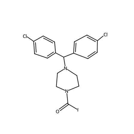 O=C(I)N1CCN(C(c2ccc(Cl)cc2)c2ccc(Cl)cc2)CC1